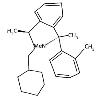 CN[C@](C)(c1ccccc1C)c1ccccc1[C@H](C)CCC1CCCCC1